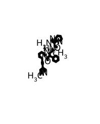 C[C@@H](NC(=O)c1c(N)nc2cccnn12)c1nc2cccc(C#Cc3cnn(C)c3)n2c(=O)c1-c1ccccc1